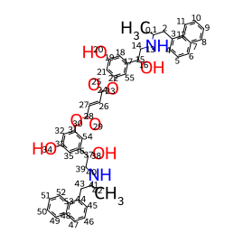 C[C@@H](Cc1cccc2ccccc12)NC[C@@H](O)c1cc(O)cc(OC(=O)/C=C/C(=O)Oc2cc(O)cc([C@H](O)CN[C@@H](C)Cc3cccc4ccccc34)c2)c1